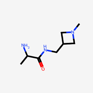 CC(N)C(=O)NCC1CN(C)C1